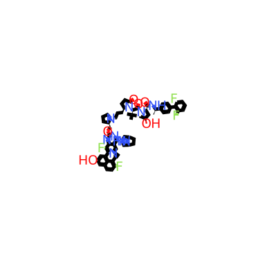 C#Cc1c(F)ccc2cc(O)cc(-c3ncc4c(N5CC6CCC(C5)N6)nc(OC[C@@H]5CCCN5CCC[C@H]5CCC(=O)N5[C@H](C(=O)N5C[C@H](O)C[C@H]5C(=O)N[C@@H](C)c5ccc(-c6c(F)cccc6F)cc5)C(C)(C)C)nc4c3F)c12